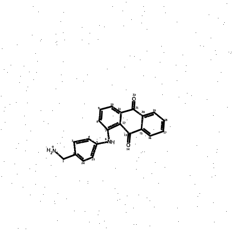 NCc1ccc(Nc2cccc3c2C(=O)c2ccccc2C3=O)cc1